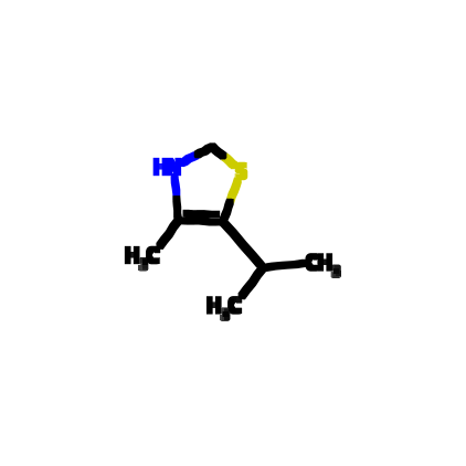 CC1=C(C(C)C)SCN1